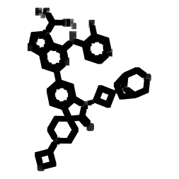 CC(C)n1cnc2cc(-c3ccc4c(c3)N([C@H]3C[C@@H](N5C6CCC5COC6)C3)C(=O)C43CCN(C4COC4)CC3)nc(Nc3ccncc3F)c21